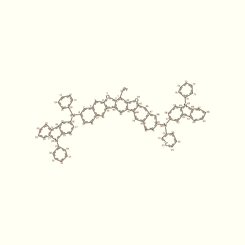 CC(C)c1c2oc3cc4cc(N(c5ccccc5)c5ccc6c(c5)c5ccccc5n6-c5ccccc5)ccc4cc3c2cc2c1oc1cc3cc(N(c4ccccc4)c4ccc5c(c4)c4ccccc4n5-c4ccccc4)ccc3cc12